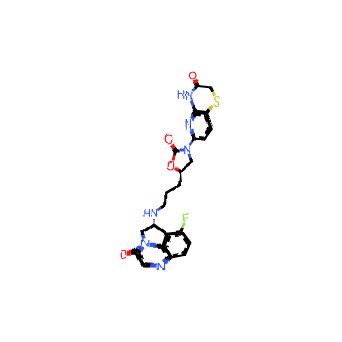 O=C1CSc2ccc(N3C[C@@H](CCCN[C@H]4Cn5c(=O)cnc6ccc(F)c4c65)OC3=O)nc2N1